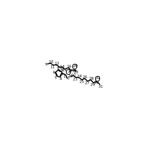 CC(=O)c1ccccc1.CCCCCCCCCC(C)=O.CCCCCCCCCC(C)=O